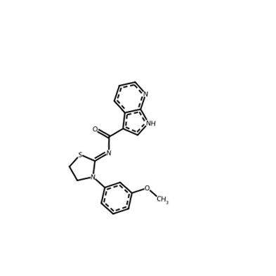 COc1cccc(N2CCS/C2=N\C(=O)c2c[nH]c3ncccc23)c1